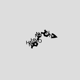 Cc1nc(N2CC3CC3C2)ccc1Cn1cc(C(=O)N[C@@H]2CCc3c(C)n[nH]c32)nn1